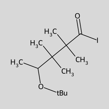 CC(OC(C)(C)C)C(C)(C)C(C)(C)C(=O)I